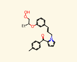 CC[C@@H](COO)Oc1cccc(/C=C/Cn2cccc2C(=O)c2ccc(C)cc2)c1